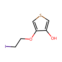 Oc1cscc1OCCI